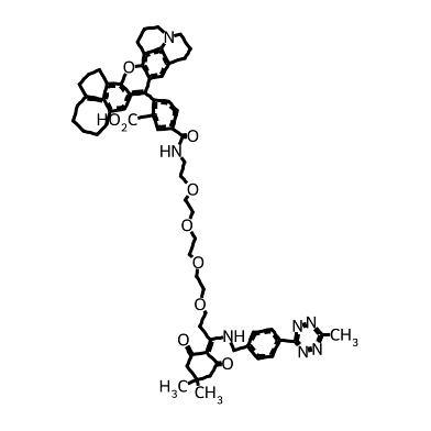 Cc1nnc(-c2ccc(CNC(CCOCCOCCOCCOCCNC(=O)c3ccc(C4=c5cc6c7c(c5Oc5c4cc4c8c5CCCN8CCC4)CCCC=7CCCCC6)c(C(=O)O)c3)=C3C(=O)CC(C)(C)CC3=O)cc2)nn1